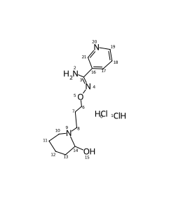 Cl.Cl.NC(=NOCCCN1CCCCC1O)c1cccnc1